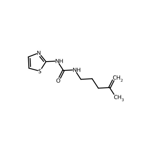 C=C(C)CCCNC(=O)Nc1nccs1